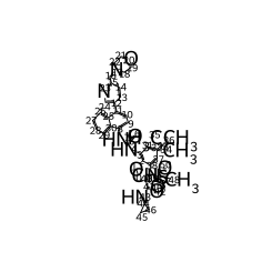 COc1c(NC(=O)Nc2ccc(-c3ccc(CN4CCOCC4)nc3)c3ccccc23)cc(C(C)(C)C)cc1N(CC(=O)NC1CC1)S(C)(=O)=O